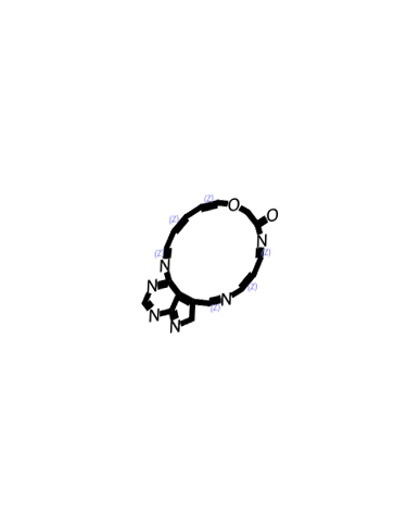 O=C1CO\C=C/C=C\C=N/c2ncnc3c2=C(\C=N/C=C\C=N/1)CN=3